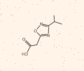 CC(C)c1noc(CC(=O)O)n1